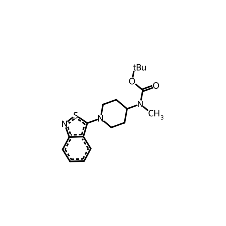 CN(C(=O)OC(C)(C)C)C1CCN(c2snc3ccccc23)CC1